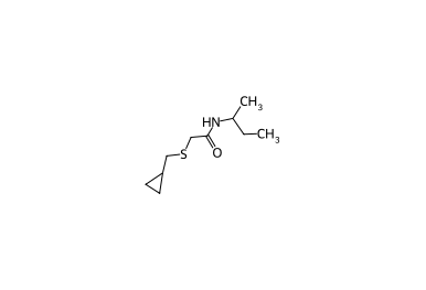 CCC(C)NC(=O)CSCC1CC1